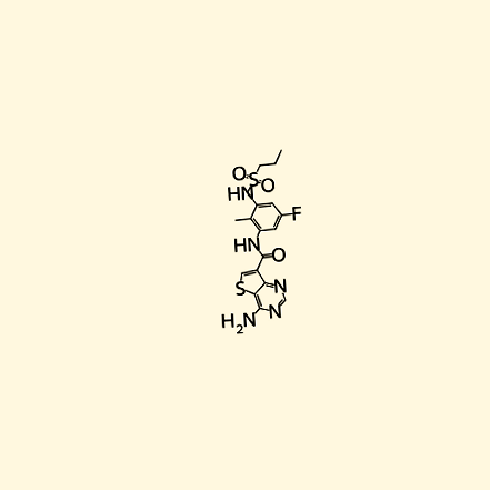 CCCS(=O)(=O)Nc1cc(F)cc(NC(=O)c2csc3c(N)ncnc23)c1C